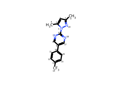 Cc1cc(C)n(-c2ncc(-c3ccc(C(F)(F)F)cc3)cn2)n1